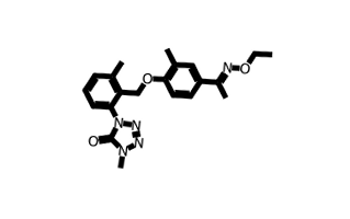 CCON=C(C)c1ccc(OCc2c(C)cccc2-n2nnn(C)c2=O)c(C)c1